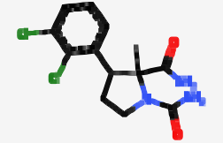 CC1(C(N)=O)C(c2cccc(Cl)c2Cl)CCN1C(N)=O